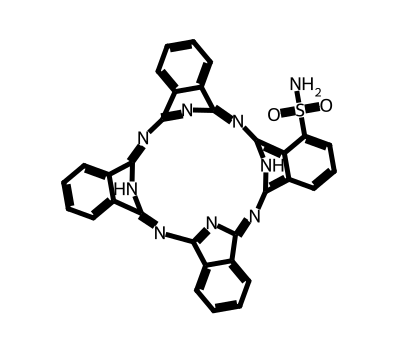 NS(=O)(=O)c1cccc2c3nc4nc(nc5[nH]c(nc6nc(nc([nH]3)c12)-c1ccccc1-6)c1ccccc51)-c1ccccc1-4